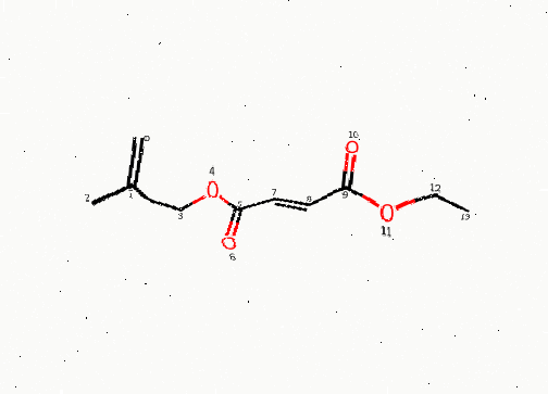 C=C(C)COC(=O)/C=C/C(=O)OCC